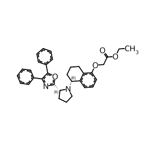 CCOC(=O)COc1cccc2c1CCC[C@H]2N1CCC[C@@H]1c1nc(-c2ccccc2)c(-c2ccccc2)o1